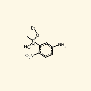 CCO[PH](C)(O)c1cc(N)ccc1[N+](=O)[O-]